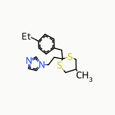 CCc1ccc(CC2(CCn3ccnc3)SCC(C)CS2)cc1